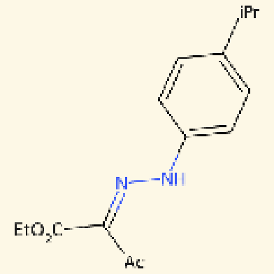 CCOC(=O)C(=NNc1ccc(C(C)C)cc1)C(C)=O